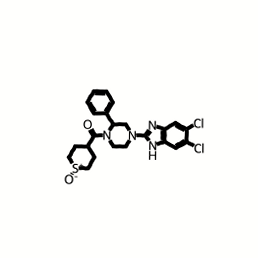 O=C(C1CC[S+]([O-])CC1)N1CCN(c2nc3cc(Cl)c(Cl)cc3[nH]2)CC1c1ccccc1